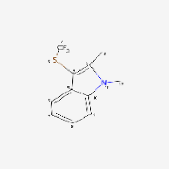 Cc1c(SC(F)(F)F)c2ccccc2n1C